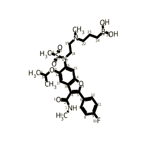 CNC(=O)c1c(-c2ccc(F)cc2)oc2cc(N(CCN(C)CCCB(O)O)S(C)(=O)=O)c(OC(C)C)cc12